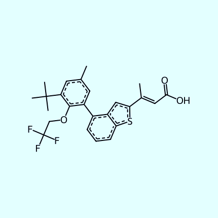 C/C(=C\C(=O)O)c1cc2c(-c3cc(C)cc(C(C)(C)C)c3OCC(F)(F)F)cccc2s1